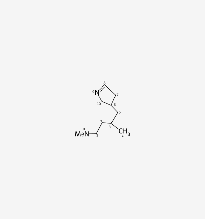 CNCCC(C)CC1CC=NC1